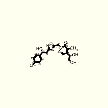 Cc1c([C@H](O)CO)cnn(Cc2nc(C[C@H](O)c3ccc(Cl)cc3)no2)c1=O